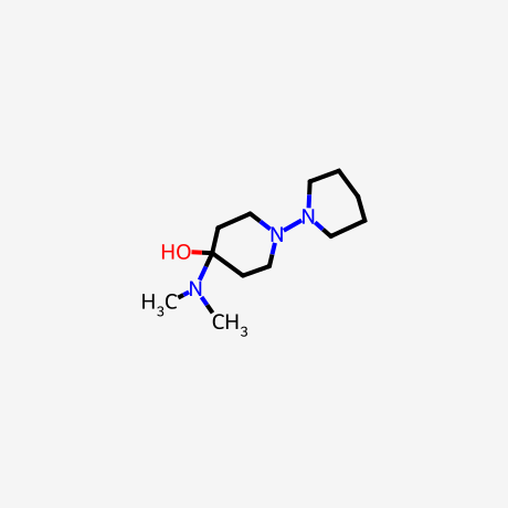 CN(C)C1(O)CCN(N2CCCCC2)CC1